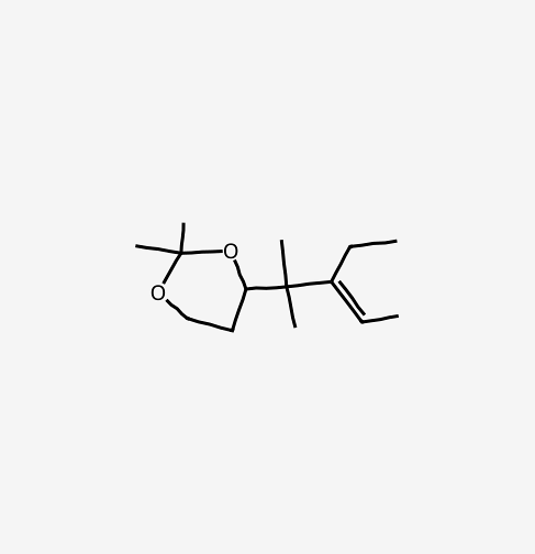 CC=C(CC)C(C)(C)C1CCOC(C)(C)O1